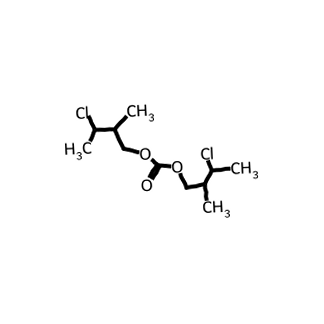 CC(Cl)C(C)COC(=O)OCC(C)C(C)Cl